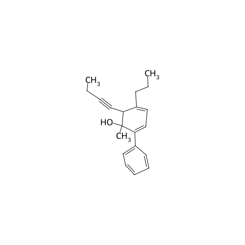 CCC#CC1C(CCC)=CC=C(c2ccccc2)C1(C)O